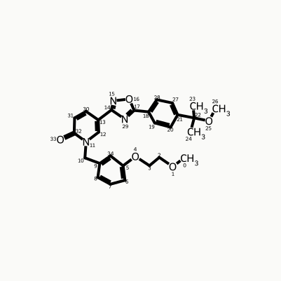 COCCOc1cccc(Cn2cc(-c3noc(-c4ccc(C(C)(C)OC)cc4)n3)ccc2=O)c1